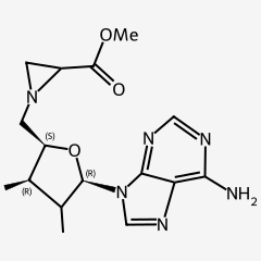 COC(=O)C1CN1C[C@H]1O[C@@H](n2cnc3c(N)ncnc32)C(C)[C@H]1C